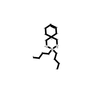 CCC[CH2][Sn]1([CH2]CCC)[O]CC2(CC=CCC2)C[O]1